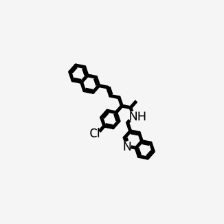 CC(NCc1cnc2ccccc2c1)C(CC=Cc1ccc2ccccc2c1)c1ccc(Cl)cc1